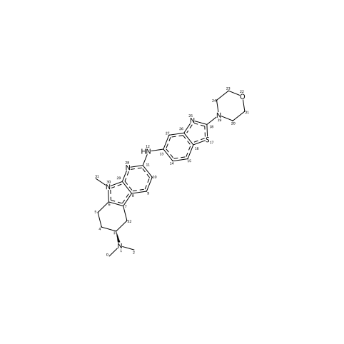 CN(C)[C@H]1CCc2c(c3ccc(Nc4ccc5sc(N6CCOCC6)nc5c4)nc3n2C)C1